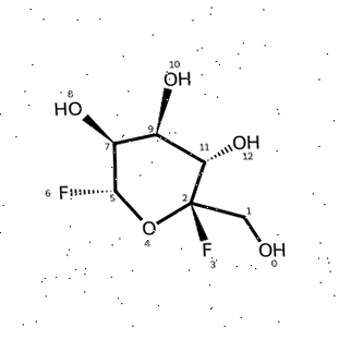 OC[C@]1(F)O[C@H](F)[C@@H](O)[C@@H](O)[C@@H]1O